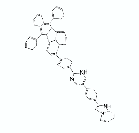 C1=CCCC(C2=c3ccccc3=C(C3=CC=CCC3)C3C4=CC=C(C5=CC=C(C6N=CC(C7=CC=C(C8=CN9C=CC=CC9N8)CC7)=CN6)CC5)C5C=CC=C(C45)C23)=C1